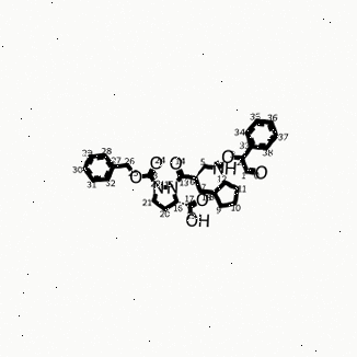 O=CC(ONC[C@@H](CC1CCCC1)C(=O)N1[C@H](C(=O)O)CCN1C(=O)OCc1ccccc1)c1ccccc1